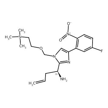 C=CC[C@H](N)c1nc(-c2cc(F)ccc2[N+](=O)[O-])cn1COCC[Si](C)(C)C